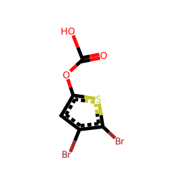 O=C(O)Oc1cc(Br)c(Br)s1